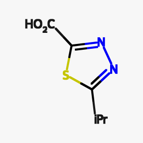 CC(C)c1nnc(C(=O)O)s1